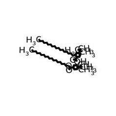 CCCCCCCCCCCCCCCCCCOC(=O)c1ccc(C(C)(C)C)cc1.CCCCCCCCCCCCCCCCCCc1cc(C(C)(C)C)ccc1C(=O)O